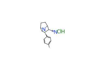 Cc1ccc([C@H]2CC3CCC(C2C#N)N3C)cc1.Cl